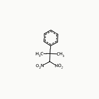 CC(C)(c1ccccc1)C([N+](=O)[O-])[N+](=O)[O-]